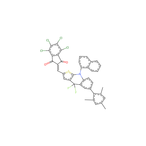 Cc1cc(C)c(-c2ccc3c(c2)C(F)(F)c2cc(C=C4C(=O)c5c(Cl)c(Cl)c(Cl)c(Cl)c5C4=O)sc2N3c2cccc3ccccc23)c(C)c1